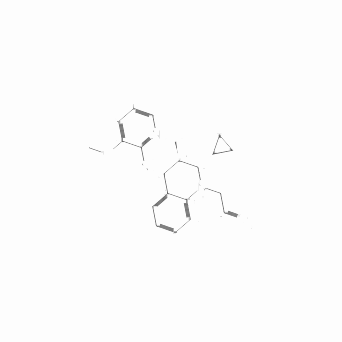 COc1cccnc1N[C@H]1c2ccccc2N(CC=O)[C@@H](C2CC2)[C@@H]1C